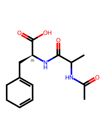 CC(=O)NC(C)C(=O)N[C@@H](CC1=CC=CCC1)C(=O)O